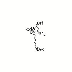 BC1CC(CO)C(O[PH](=O)O)C1OCCCCCCCCCCCCCCCC